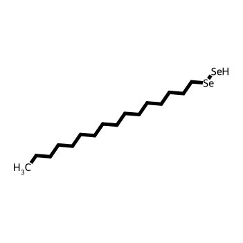 CCCCCCCCCCCCCCCC[Se][SeH]